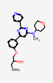 CNCC(O)COc1cccc(-c2cc(N(C)C3CCOCC3)nc(-c3ccncc3)n2)c1